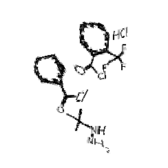 CC(C)(C)NN.Cl.O=C(Cl)c1ccccc1.O=C(Cl)c1ccccc1C(F)(F)F